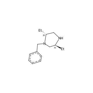 CC[C@H]1CN(Cc2ccccc2)[C@H](CC)CN1